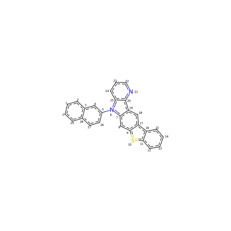 c1ccc2cc(-n3c4cc5sc6ccccc6c5cc4c4ncccc43)ccc2c1